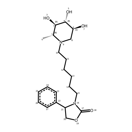 C[C@@H]1[C@@H](O)[C@H](O)[C@@H](O)CN1CCCCCCN1C(=O)OCC1c1ccccc1